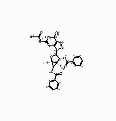 CC(C)C(=O)NC1=Nc2c(nnn2[C@@H]2O[C@@H]3C(OC(=O)c4ccccc4)[C@]3(F)[C@H]2OC(=O)c2ccccc2)C(O)N1